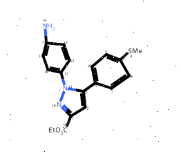 CCOC(=O)c1cc(-c2ccc(SC)cc2)n(-c2ccc(N)cc2)n1